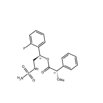 CO[C@H](C(=O)O[C@@H](CNS(N)(=O)=O)c1ccccc1F)c1ccccc1